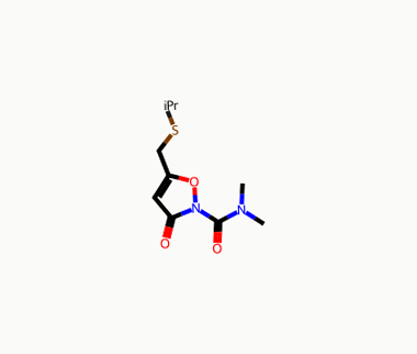 CC(C)SCc1cc(=O)n(C(=O)N(C)C)o1